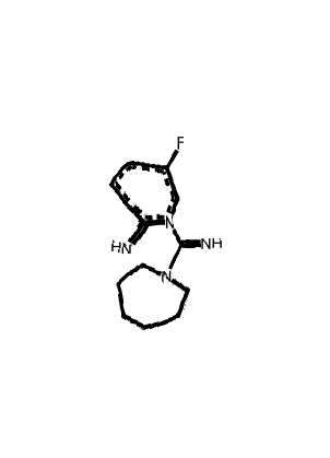 N=C(N1CCCCCC1)n1cc(F)ccc1=N